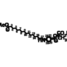 COC(=O)CCCCCCCCCCCCCCCNc1ccc(C(=O)OC(C)C(=O)O)cc1